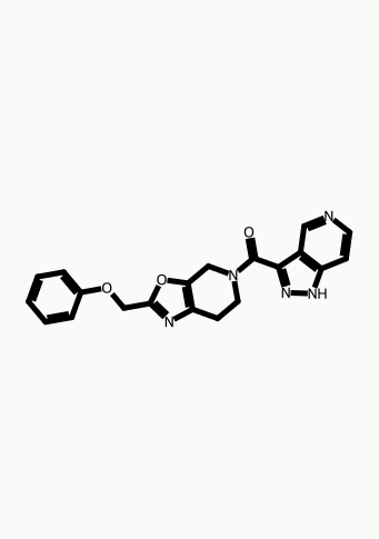 O=C(c1n[nH]c2ccncc12)N1CCc2nc(COc3ccccc3)oc2C1